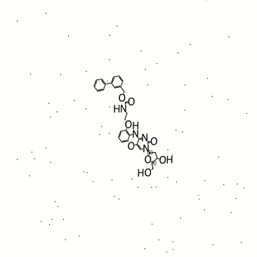 O=C(NCCOc1cccc2c1Nc1nc(=O)n([C@H]3CC(O)[C@@H](CO)O3)cc1O2)OCc1cccc(-c2ccccc2)c1